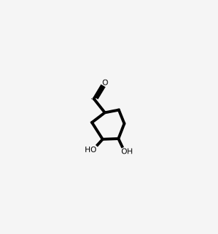 O=[C]C1CCC(O)C(O)C1